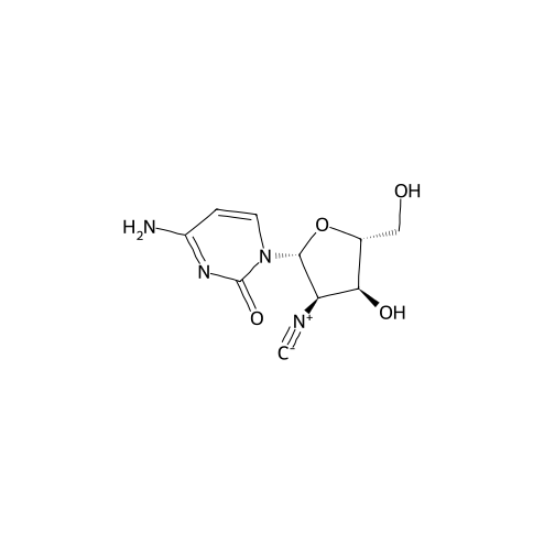 [C-]#[N+][C@@H]1[C@H](O)[C@@H](CO)O[C@H]1n1ccc(N)nc1=O